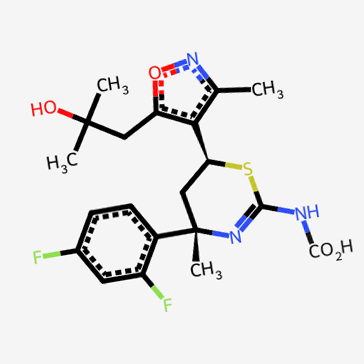 Cc1noc(CC(C)(C)O)c1[C@@H]1C[C@@](C)(c2ccc(F)cc2F)N=C(NC(=O)O)S1